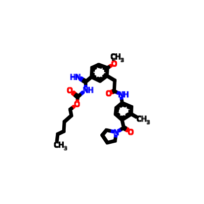 CCCCCCOC(=O)NC(=N)c1ccc(OC)c(CC(=O)Nc2ccc(C(=O)N3CCCC3)c(C)c2)c1